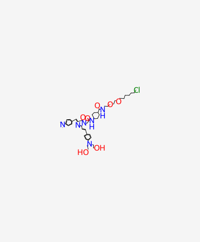 CN(C)c1ccc(/C=C2N=C(/C=C/c3ccc(N(CCO)CCO)cc3)N(CC(=O)NC3CCC(C(=O)NCCOCCOCCCCCCCl)CC3)C\2=O)cc1